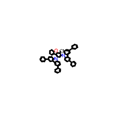 N#Cc1c(-n2c3ccc(-c4ccccc4)cc3c3cc(-c4ccccc4)ccc32)cc(-n2c3ccc(-c4ccccc4)cc3c3cc(-c4ccccc4)ccc32)c2c1oc1ccccc12